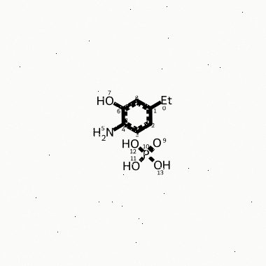 CCc1ccc(N)c(O)c1.O=P(O)(O)O